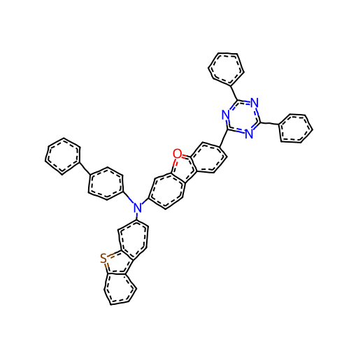 c1ccc(-c2ccc(N(c3ccc4c(c3)oc3cc(-c5nc(-c6ccccc6)nc(-c6ccccc6)n5)ccc34)c3ccc4c(c3)sc3ccccc34)cc2)cc1